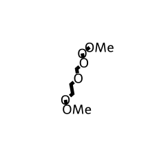 COOCCOCOOOC